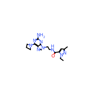 CCn1nc(C)cc1C(=O)NCCn1cnc2c(N3CCC3)nc(N)nc21